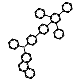 c1ccc(-c2cc(-c3ccccc3)c(-c3ccc(-c4ccc(N(c5ccccc5)c5ccc6c(ccc7ccccc76)c5)cc4)cc3)c(-c3ccccc3)c2)cc1